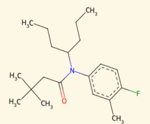 CCCC(CCC)N(C(=O)CC(C)(C)C)c1ccc(F)c(C)c1